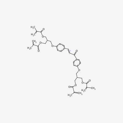 C=C(C)C(=O)OCC(COC(=O)C(=C)C)COc1ccc(/C=C/C(=O)c2ccc(OCC(COC(=O)C(=C)C)COC(=O)C(=C)C)cc2)cc1